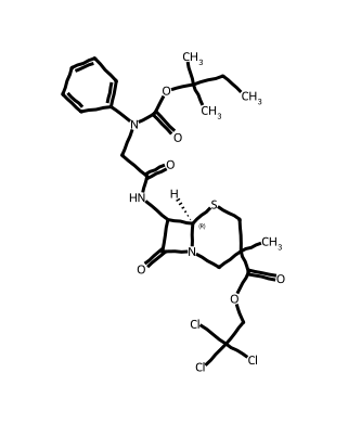 CCC(C)(C)OC(=O)N(CC(=O)NC1C(=O)N2CC(C)(C(=O)OCC(Cl)(Cl)Cl)CS[C@H]12)c1ccccc1